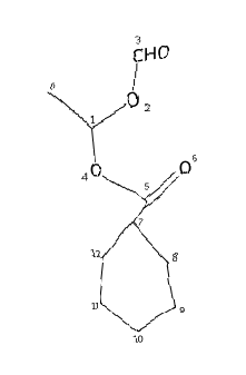 CC(OC=O)OC(=O)C1CCCCC1